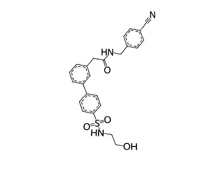 N#Cc1ccc(CNC(=O)Cc2cccc(-c3ccc(S(=O)(=O)NCCO)cc3)c2)cc1